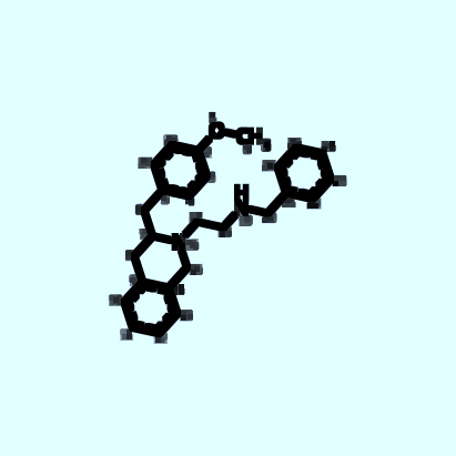 COc1ccc(CC2Cc3ccccc3CN2CCNCc2ccccc2)cc1